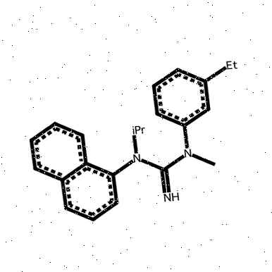 CCc1cccc(N(C)C(=N)N(c2cccc3ccccc23)C(C)C)c1